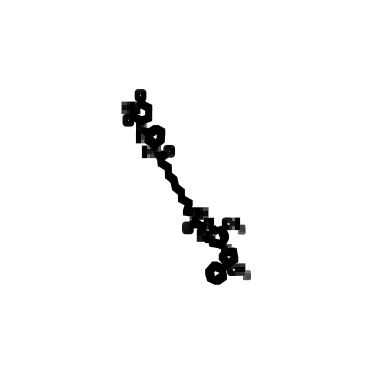 Cc1cc(N2CC[C@](C)(c3ccccc3)C2)cn2nc(C(=O)NCCCCCCCCCC(=O)Nc3cccc(NC4CCC(=O)NC4=O)c3)nc12